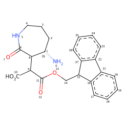 N[C@H]1CCCNC(=O)C1C(C(=O)O)C(=O)OCC1c2ccccc2-c2ccccc21